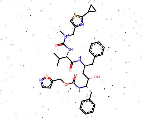 CC(C)[C@H](NC(=O)N(C)Cc1csc(C2CC2)n1)C(=O)N[C@@H](Cc1ccccc1)C[C@H](O)[C@H](Cc1ccccc1)NC(=O)OCc1ccno1